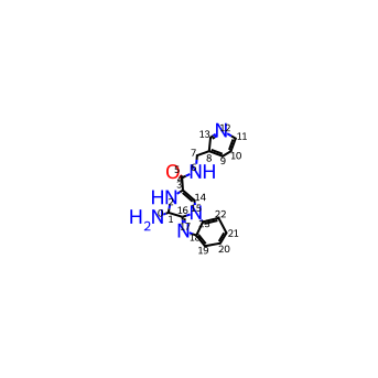 NC1NC(C(=O)NCc2cccnc2)=Cn2c1nc1ccccc12